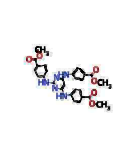 COC(=O)c1ccc(Nc2cc(Nc3ccc(C(=O)OC)cc3)nc(Nc3ccc(C(=O)OC)cc3)n2)cc1